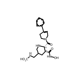 O=C(O)NCC1CN[C@H](C(=O)N2CC=C(c3ccccc3)CC2)[C@@H](C(=O)NO)C1